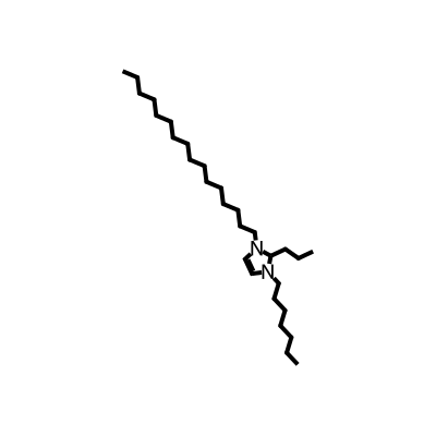 CCCCCCCCCCCCCCCCN1C=CN(CCCCCCC)C1CCC